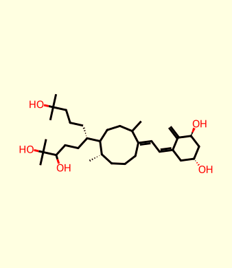 C=C1/C(=C\C=C2/CCC[C@H](C)C([C@@H](CCCC(C)(C)O)CCC(O)C(C)(C)O)CCC2C)C[C@@H](O)C[C@@H]1O